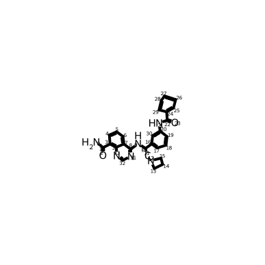 NC(=O)c1cccc2c(N[C@H](CN3CCC3)c3cccc(NC(=O)c4ccccc4)c3)ncnc12